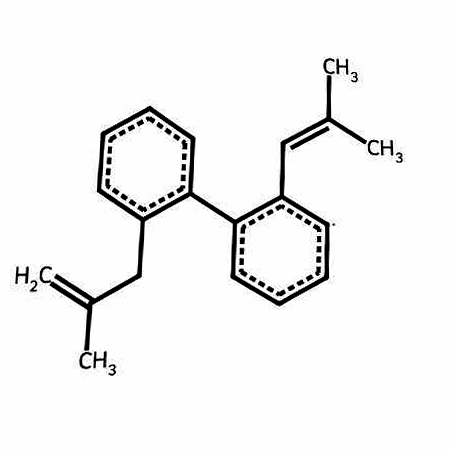 C=C(C)Cc1ccccc1-c1ccc[c]c1C=C(C)C